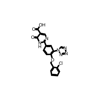 O=C(O)c1cnc(-c2ccc(OCc3ccccc3Cl)c(-n3cnnn3)c2)[nH]c1=O